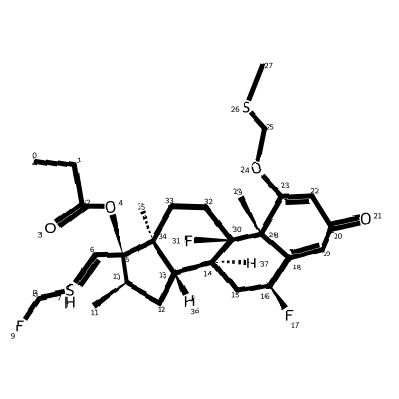 CCC(=O)O[C@]1(C=[SH]CF)[C@H](C)C[C@H]2[C@@H]3C[C@H](F)C4=CC(=O)C=C(OCSC)[C@@]4(C)[C@@]3(F)CC[C@@]21C